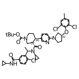 Cc1cc(Cl)c(O[C@H]2CCN(c3ccc([C@@H]4CCN(C(=O)OC(C)(C)C)C[C@H]4C(=O)N(C4CC4)C(C)c4cc(C(=O)NC5CC5)ccc4Cl)cn3)C2)c(Cl)c1